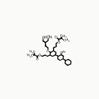 C=C(C)C(=O)OCCCC1CC(C2CCC(C3CCCCC3)CC2CCC)CC(CCCOC(=O)C(=C)C)C1OCCC(CO)CO